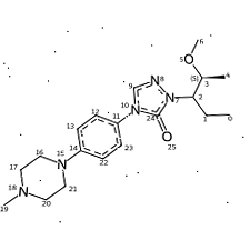 CCC([C@H](C)OC)n1ncn(-c2ccc(N3CCN(C)CC3)cc2)c1=O